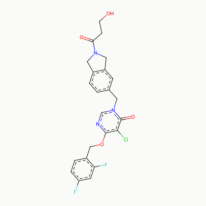 O=C(CCO)N1Cc2ccc(Cn3cnc(OCc4ccc(F)cc4F)c(Cl)c3=O)cc2C1